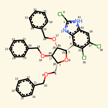 Clc1nc2c([C@@H]3O[C@H](COCc4ccccc4)[C@@H](OCc4ccccc4)[C@@H]3OCc3ccccc3)c(Cl)c(Cl)cc2[nH]1